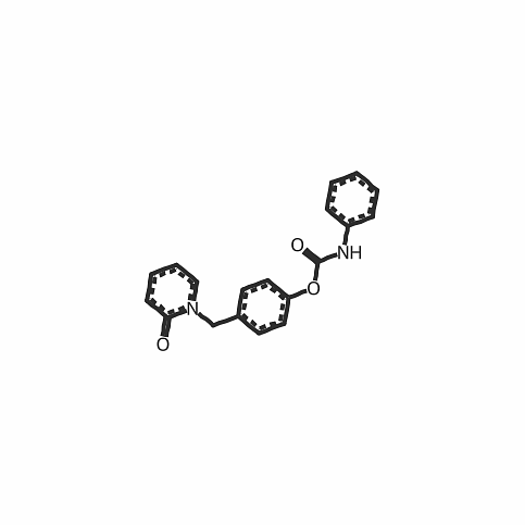 O=C(Nc1ccccc1)Oc1ccc(Cn2ccccc2=O)cc1